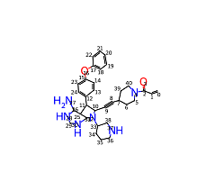 C=CC(=O)N1CCC(C#CC2C(c3ccc(Oc4ccccc4)cc3)C3C(N)NCNC3N2C2CCCNC2)CC1